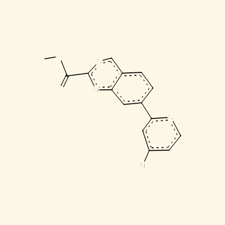 COC(=O)c1ncc2ccc(-c3cc(N)ccn3)cc2n1